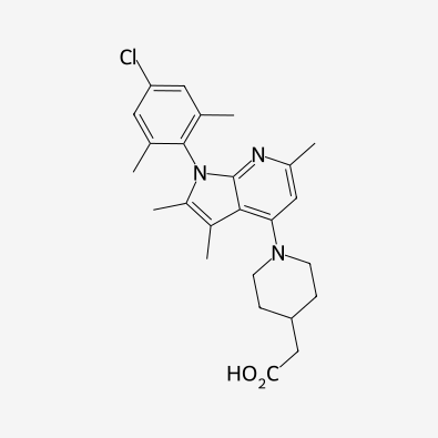 Cc1cc(N2CCC(CC(=O)O)CC2)c2c(C)c(C)n(-c3c(C)cc(Cl)cc3C)c2n1